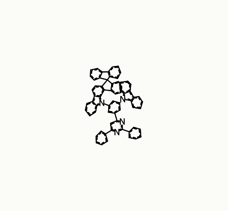 c1ccc(-c2cc(-c3cc(-n4c5ccccc5c5ccccc54)cc(-n4c5ccccc5c5ccc6c(c54)-c4ccccc4C64c5ccccc5-c5ccccc54)c3)nc(-c3ccccc3)n2)cc1